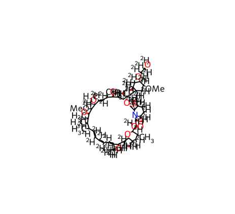 [2H]OC([2H])([2H])C([2H])([2H])O[C@]1([2H])C([2H])([2H])C([2H])([2H])[C@@]([2H])(C([2H])([2H])[C@@]([2H])(C)[C@@]2([2H])OC(=O)[C@@]3([2H])N(C(=O)C(=O)[C@]4(O[2H])O[C@@]([2H])(C([2H])([2H])C([2H])([2H])[C@@]4([2H])C)C([2H])([2H])[C@]([2H])(OC([2H])([2H])[2H])/C(C([2H])([2H])[2H])=C([2H])/C([2H])=C([2H])/C([2H])=C(\[2H])[C@@]([2H])(C)C([2H])(C)[C@@]([2H])(C)C(=O)[C@]([2H])(OC)[C@]([2H])(O[2H])/C(C)=C(\[2H])[C@@]([2H])(C)C(=O)C2([2H])[2H])C([2H])([2H])C([2H])([2H])C([2H])([2H])C3([2H])[2H])C([2H])([2H])[C@@]1([2H])OC